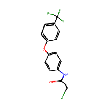 O=C(CCl)Nc1ccc(Oc2ccc(C(F)(F)F)cc2)cc1